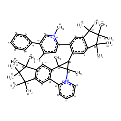 Cc1cc(-c2cc3c(cc2C2C4(C)c5cc6c(cc5-c5cccc[n+]5C24C)C(C)(C)C(C)(C)C6(C)C)C(C)(C)C(C)(C)C3(C)C)[n+](C)cc1-c1ccccc1